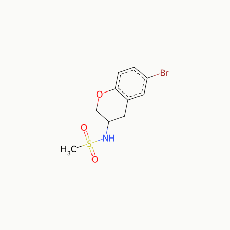 CS(=O)(=O)NC1COc2ccc(Br)cc2C1